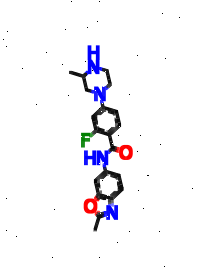 Cc1nc2ccc(NC(=O)c3ccc(N4CCNC(C)C4)cc3F)cc2o1